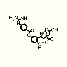 Cc1ccc(OC(=O)c2ccc(NC(=N)N)cc2)cc1C1=NOC(CC(=O)O)(C(=O)O)C1